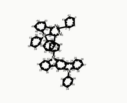 c1ccc(-c2nc(-c3ccc(-n4c5ccccc5c5cc6c(cc54)c4ccccc4n6-c4ccccc4)cc3)c3c(n2)-c2ccccc2[Si]3(c2ccccc2)c2ccccc2)cc1